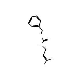 O=C(NCC=C(Br)Br)OCc1ccccc1